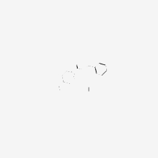 CC[C@H]1CN(C(=O)OCc2ccccc2)CC[C@H]1CC(=O)O.Cl